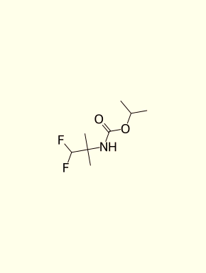 CC(C)OC(=O)NC(C)(C)C(F)F